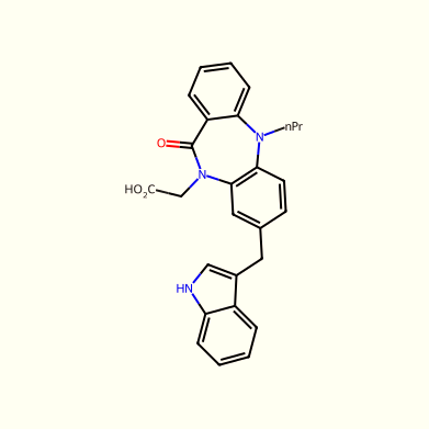 CCCN1c2ccccc2C(=O)N(CC(=O)O)c2cc(Cc3c[nH]c4ccccc34)ccc21